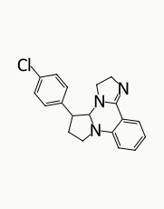 Clc1ccc(C2CCN3c4ccccc4C4=NCCN4C23)cc1